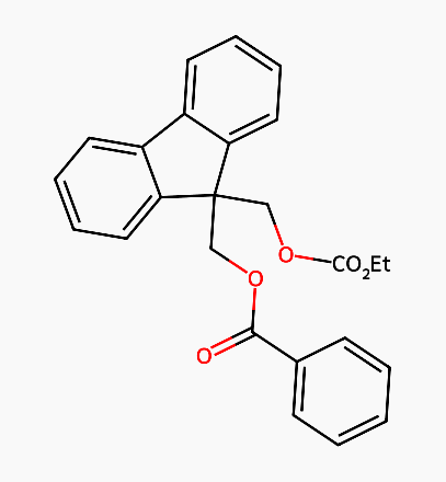 CCOC(=O)OCC1(COC(=O)c2ccccc2)c2ccccc2-c2ccccc21